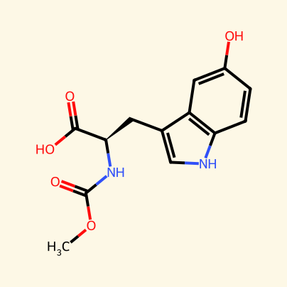 COC(=O)N[C@H](Cc1c[nH]c2ccc(O)cc12)C(=O)O